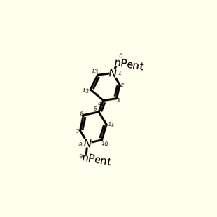 CCCCCN1C=CC(=C2C=CN(CCCCC)C=C2)C=C1